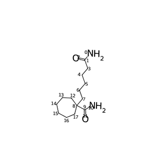 NC(=O)CCCCCC1(C(N)=O)CCCCCC1